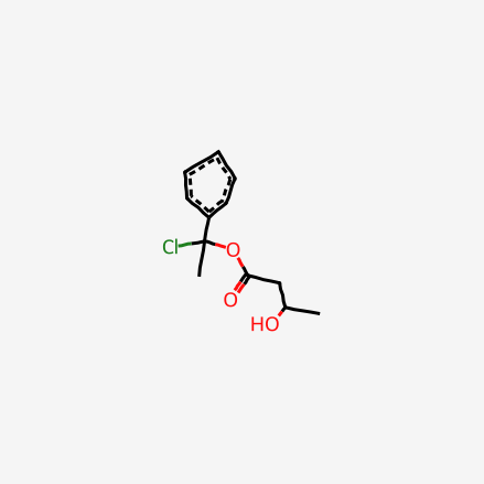 CC(O)CC(=O)OC(C)(Cl)c1ccccc1